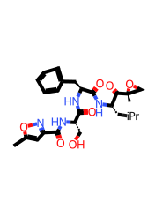 Cc1cc(C(=O)N[C@@H](CO)C(=O)N[C@@H](Cc2ccccc2)C(=O)N[C@@H](CC(C)C)C(=O)[C@@]2(C)CO2)no1